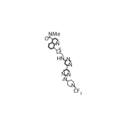 CNC(=O)c1ccnc2c(C3CC(CNc4cc(-c5cnc(N(C)C6CCN(CC(F)(F)F)CC6)nc5)ncn4)S3)cccc12